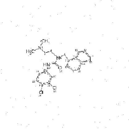 CN(C)CCN(Cc1cccc2ccccc12)C(=O)Nc1ccc(Cl)c(Cl)c1